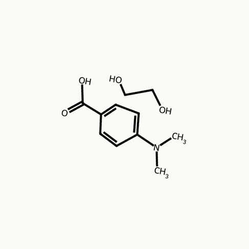 CN(C)c1ccc(C(=O)O)cc1.OCCO